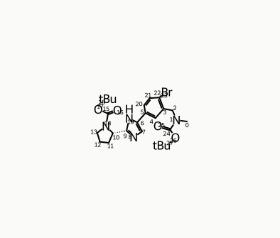 CN(Cc1cc(-c2cnc([C@@H]3CCCN3C(=O)OC(C)(C)C)[nH]2)ccc1Br)C(=O)OC(C)(C)C